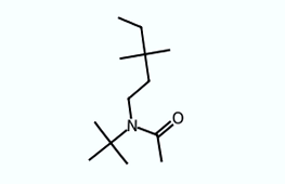 CCC(C)(C)CCN(C(C)=O)C(C)(C)C